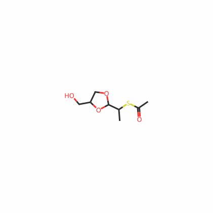 CC(=O)SC(C)C1OCC(CO)O1